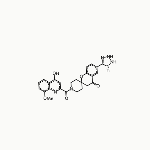 COc1cccc2c(O)cc(C(=O)N3CCC4(CC3)CC(=O)c3cc(C5=NNNN5)ccc3O4)nc12